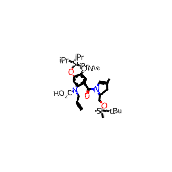 C=CCN(C(=O)O)c1cc(O[Si](C(C)C)(C(C)C)C(C)C)c(OC)cc1C(=O)N1C=C(C)CC1CO[Si](C)(C)C(C)(C)C